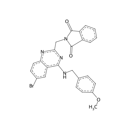 COc1ccc(CNc2nc(CN3C(=O)c4ccccc4C3=O)nc3ccc(Br)cc23)cc1